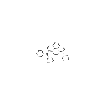 c1ccc(-c2ccc3ccc4ccc(N(c5ccccc5)c5ccccc5)c5ccc2c3c45)cc1